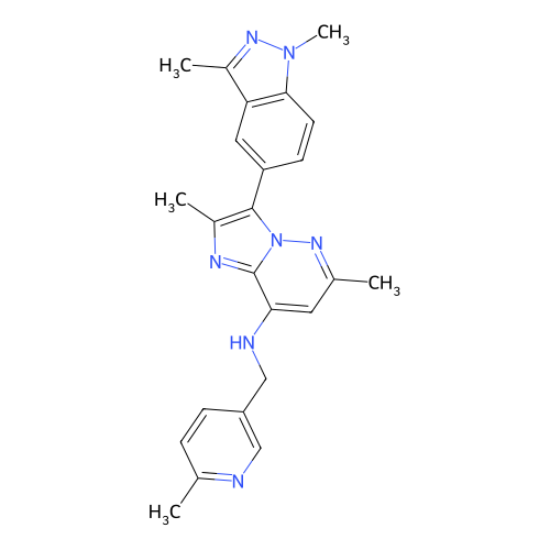 Cc1ccc(CNc2cc(C)nn3c(-c4ccc5c(c4)c(C)nn5C)c(C)nc23)cn1